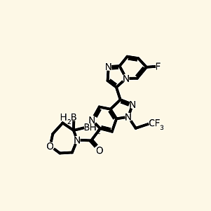 BC1(B)CCOCCN1C(=O)c1cc2c(cn1)c(-c1cnc3ccc(F)cn13)nn2CC(F)(F)F